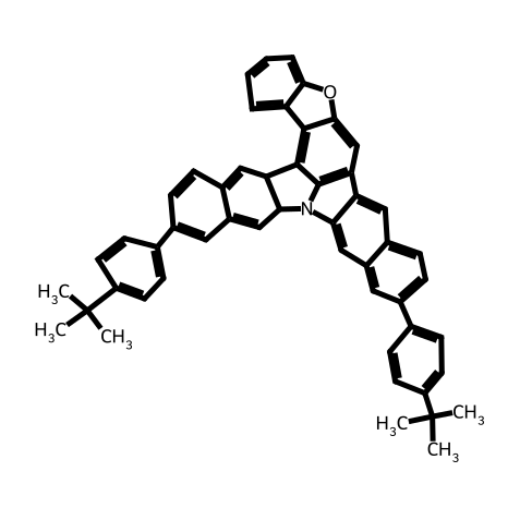 CC(C)(C)c1ccc(-c2ccc3c(c2)=CC2C(C=3)c3c4c(cc5c6cc7ccc(-c8ccc(C(C)(C)C)cc8)cc7cc6n2c35)oc2ccccc24)cc1